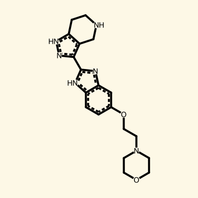 c1cc2[nH]c(-c3n[nH]c4c3CNCC4)nc2cc1OCCN1CCOCC1